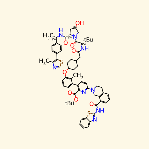 Cc1ncsc1-c1ccc([C@H](C)NC(=O)[C@@H]2C[C@@H](O)CN2C(=O)[C@@H](NC(=O)CC2CCC(Oc3cccc(-c4ccc(N5CCc6cccc(C(=O)Nc7nc8ccccc8s7)c6C5)nc4C(=O)OC(C)(C)C)c3C)CC2)C(C)(C)C)cc1